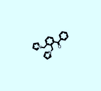 O=C(c1ccccc1)c1cccc(Cn2cccc2)c1Cn1cccc1